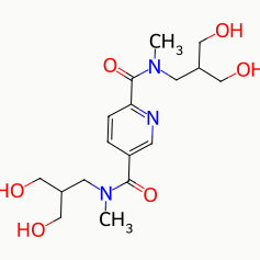 CN(CC(CO)CO)C(=O)c1ccc(C(=O)N(C)CC(CO)CO)nc1